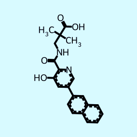 CC(C)(CNC(=O)c1ncc(-c2ccc3ccccc3c2)cc1O)C(=O)O